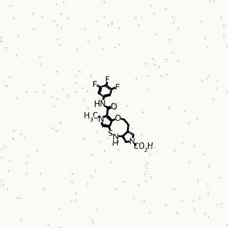 Cn1cc2c(c1C(=O)Nc1cc(F)c(F)c(F)c1)OCCC1CN(C(=O)O)CC1NS2